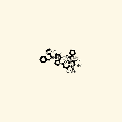 CC[C@H](C)[C@@H]([C@@H](CC(=O)N1CCC[C@H]1[C@H](OC)[C@@H](C)C(=O)N[C@@H](Cc1ccccc1)c1nccs1)OC)N(C)[C@H](C(=O)NC(=O)C1(N)CCCC1)C(C)C